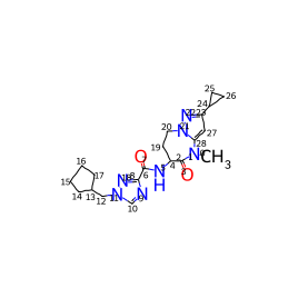 CN1C(=O)C(NC(=O)c2ncn(CC3CCCC3)n2)CCn2nc(C3CC3)cc21